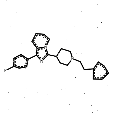 Fc1ccc(-c2nc(C3CCN(CCc4ccccc4)CC3)n3ccccc23)cc1